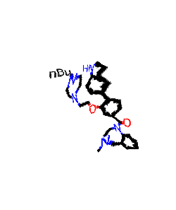 CCCCN1CCN(CCOc2cc(C(=O)N3CCN(C)Cc4ccccc43)ccc2-c2ccc3[nH]ccc3c2)CC1